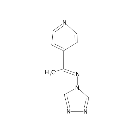 CC(=Nn1cnnc1)c1ccncc1